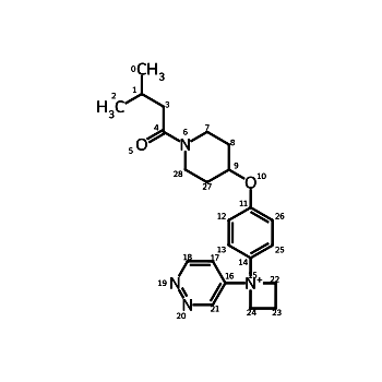 CC(C)CC(=O)N1CCC(Oc2ccc([N+]3(c4ccnnc4)CCC3)cc2)CC1